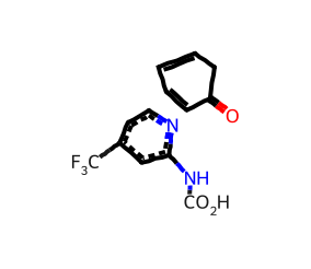 O=C(O)Nc1cc(C(F)(F)F)ccn1.O=C1C=CC=CC1